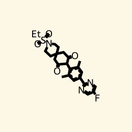 CCS(=O)(=O)N1CCC2(CC1)CC(=O)C(c1c(C)cc(-c3ncc(F)cn3)cc1C)C(=O)C2